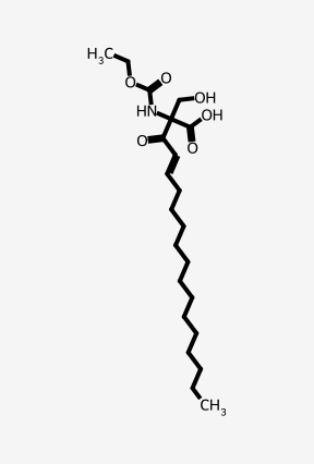 CCCCCCCCCCCCC/C=C/C(=O)C(CO)(NC(=O)OCC)C(=O)O